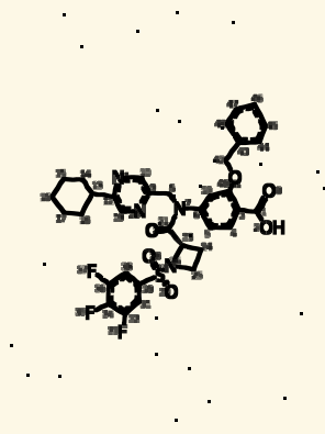 O=C(O)c1ccc(N(Cc2cnc(C3CCCCC3)cn2)C(=O)[C@H]2CCN2S(=O)(=O)c2cc(F)c(F)c(F)c2)cc1OCc1ccccc1